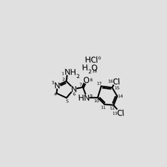 Cl.NC1=NCCN1C(=O)Nc1cc(Cl)cc(Cl)c1.O